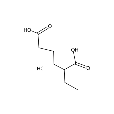 CCC(CCCC(=O)O)C(=O)O.Cl